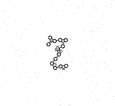 CC1(C)c2ccccc2-c2ccc(-c3cccc4c3sc3c(-c5ccc(-c6ccc7oc8c(-c9cccc(-n%10c%11ccccc%11c%11ccc(-c%12ccc%13c(c%12)c%12ccccc%12n%13-c%12ccccc%12)cc%11%10)c9)ncnc8c7c6)cc5)cccc34)cc21